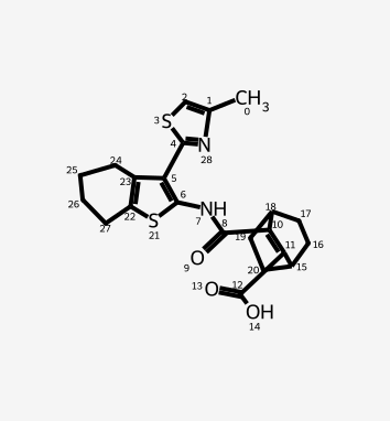 Cc1csc(-c2c(NC(=O)C3=C(C(=O)O)C4CCC3CC4)sc3c2CCCC3)n1